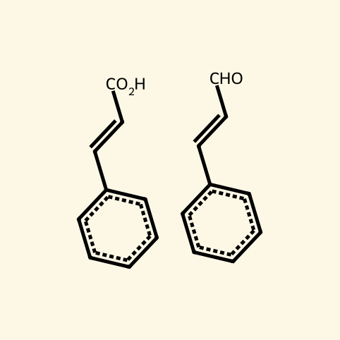 O=C(O)/C=C/c1ccccc1.O=C/C=C/c1ccccc1